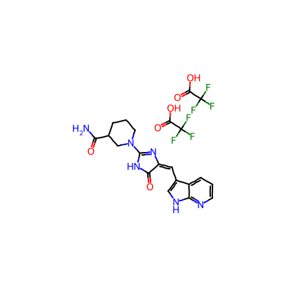 NC(=O)C1CCCN(C2=NC(=Cc3c[nH]c4ncccc34)C(=O)N2)C1.O=C(O)C(F)(F)F.O=C(O)C(F)(F)F